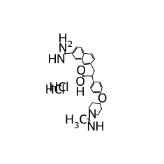 CC(=N)N1CCC(Oc2ccc(C(Cc3ccc4ccc(C(=N)N)cc4c3)C(=O)O)cc2)CC1.Cl.Cl